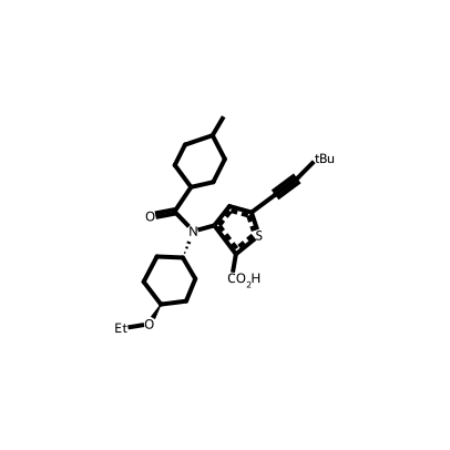 CCO[C@H]1CC[C@H](N(C(=O)C2CCC(C)CC2)c2cc(C#CC(C)(C)C)sc2C(=O)O)CC1